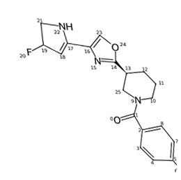 O=C(c1ccc(F)cc1)N1CCC[C@H](c2nc(C3=CC(F)CN3)co2)C1